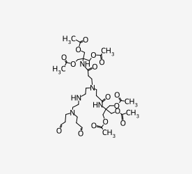 CC(=O)OCC(COC(C)=O)(COC(C)=O)NC(=O)CCN(CCNCCN(CCC=O)CCC=O)CCC(=O)NC(COC(C)=O)(COC(C)=O)COC(C)=O